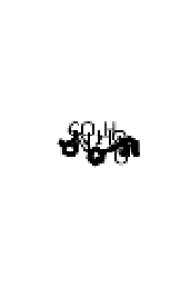 CC1CCc2c1c(C(=O)O)nn2-c1cccc(C#C[C@]2(O)CCN(C)C2=O)c1